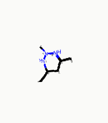 CC1CC(C)NN(C)N1